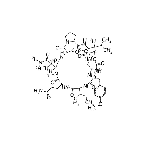 [2H]N([2H])C(=O)C([2H])([2H])C1([2H])C(=O)NC(C(=O)N2CCCC2C(=O)NC(C(=O)NCC(N)=O)C([2H])([2H])C(C)C)CSCCCC(=O)NC(Cc2ccc(OC)cc2)C(=O)NC(C(C)CC)C(=O)NC(CCC(N)=O)C(=O)N1[2H]